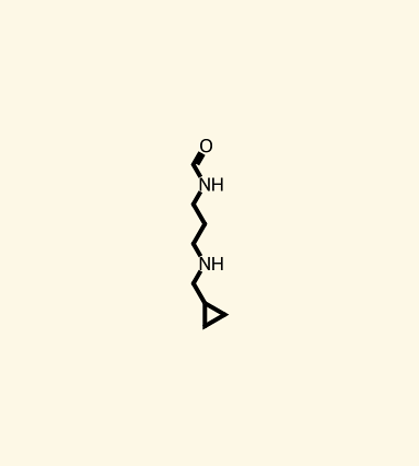 O=CNCCCNCC1CC1